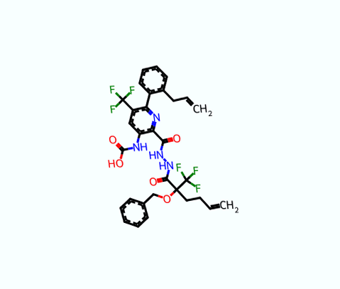 C=CCCC(OCc1ccccc1)(C(=O)NNC(=O)c1nc(-c2ccccc2CC=C)c(C(F)(F)F)cc1NC(=O)O)C(F)(F)F